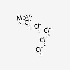 [Cl-].[Cl-].[Cl-].[Cl-].[Cl-].[Mo+5]